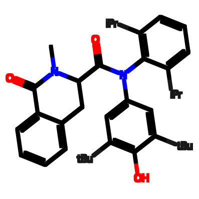 CC(C)c1cccc(C(C)C)c1N(C(=O)C1Cc2ccccc2C(=O)N1C)c1cc(C(C)(C)C)c(O)c(C(C)(C)C)c1